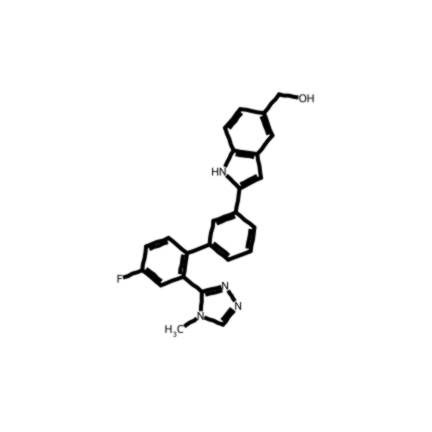 Cn1cnnc1-c1cc(F)ccc1-c1cccc(-c2cc3cc(CO)ccc3[nH]2)c1